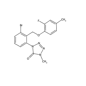 Cc1ccc(OCc2c(Br)cccc2-n2nnn(C)c2=O)c(F)c1